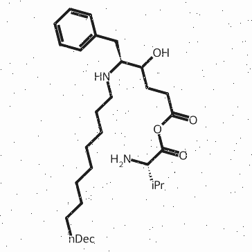 CCCCCCCCCCCCCCCCCCN[C@@H](Cc1ccccc1)C(O)CCC(=O)OC(=O)[C@@H](N)C(C)C